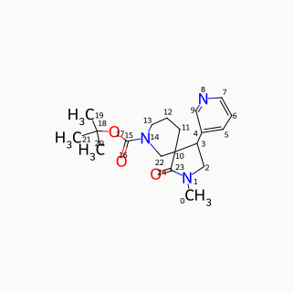 CN1CC(c2cccnc2)C2(CCCN(C(=O)OC(C)(C)C)C2)C1=O